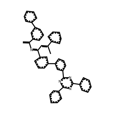 C=C(/N=C(\C=C(/C)c1ccccc1)c1cccc(-c2cccc(-c3nc(-c4ccccc4)nc(-c4ccccc4)n3)c2)c1)c1cccc(-c2ccccc2)c1